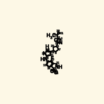 CC1(c2cnc(C3CCC(c4cc(Nc5ccc6c(c5F)CNS6(=O)=O)n[nH]4)C3)o2)CC1